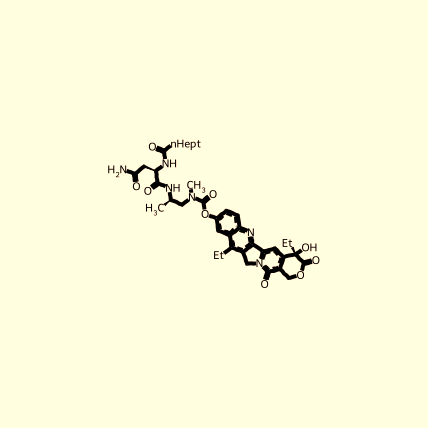 CCCCCCCC(=O)N[C@H](CC(N)=O)C(=O)N[C@H](C)CN(C)C(=O)Oc1ccc2nc3c(c(CC)c2c1)Cn1c-3cc2c(c1=O)COC(=O)[C@]2(O)CC